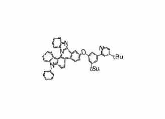 CC(C)(C)c1cc(Oc2ccc3c(c2)c2nc4ccccc4n2c2c3ccc3c2c2ccccc2n3-c2ccccc2)cc(-c2cc(C(C)(C)C)ccn2)c1